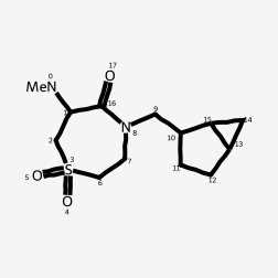 CNC1CS(=O)(=O)CCN(CC2CCC3CC32)C1=O